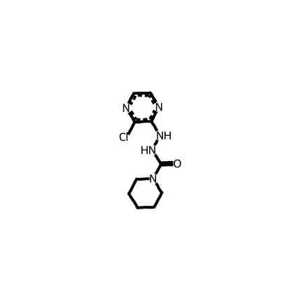 O=C(NNc1nccnc1Cl)N1CCCCC1